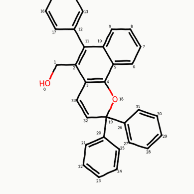 OCc1c2c(c3ccccc3c1-c1ccccc1)OC(c1ccccc1)(c1ccccc1)C=C2